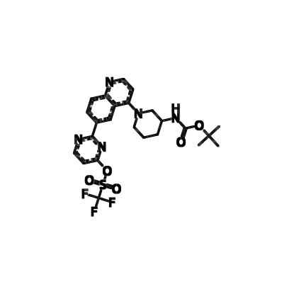 CC(C)(C)OC(=O)NC1CCCN(c2ccnc3ccc(-c4nccc(OS(=O)(=O)C(F)(F)F)n4)cc23)C1